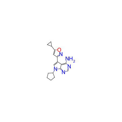 Nc1ncnc2c1c(-c1cc(C3CC3)on1)cn2C1CCCC1